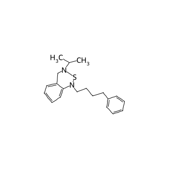 CC(C)N1Cc2ccccc2N(CCCCc2ccccc2)S1